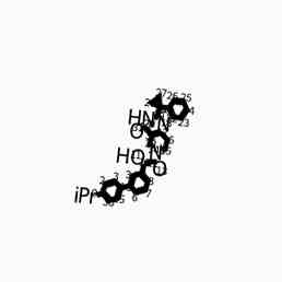 CC(C)c1ccc(-c2cccc(C(O)C(=O)N3CCc4nc(C5(c6ccccc6)CC5)[nH]c(=O)c4C3)c2)cc1